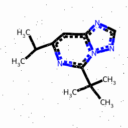 CC(C)c1cc2ncnn2c(C(C)(C)C)n1